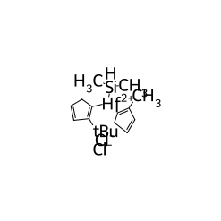 CC1=[C]([Hf+2]([C]2=C(C(C)(C)C)C=CC2)[SiH](C)C)CC=C1.[Cl-].[Cl-]